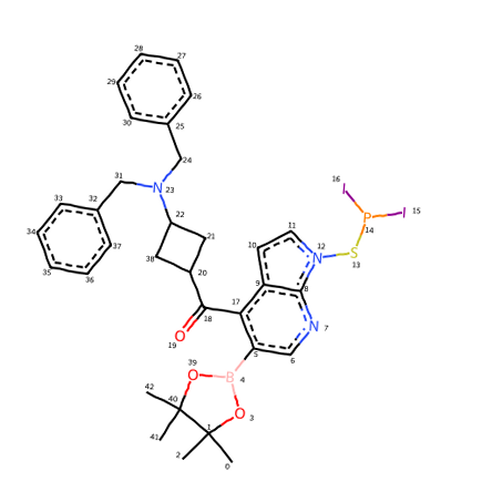 CC1(C)OB(c2cnc3c(ccn3SP(I)I)c2C(=O)C2CC(N(Cc3ccccc3)Cc3ccccc3)C2)OC1(C)C